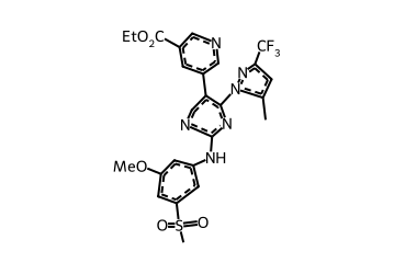 CCOC(=O)c1cncc(-c2cnc(Nc3cc(OC)cc(S(C)(=O)=O)c3)nc2-n2nc(C(F)(F)F)cc2C)c1